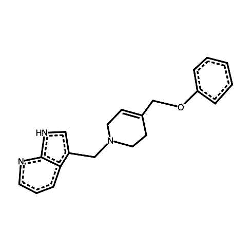 C1=C(COc2ccccc2)CCN(Cc2c[nH]c3ncccc23)C1